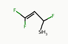 FC(F)=CC(F)[SiH3]